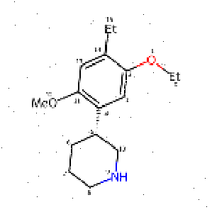 CCOc1cc([C@H]2CCCNC2)c(OC)cc1CC